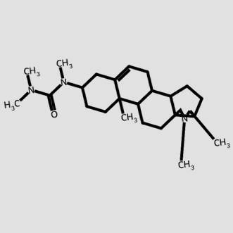 CC1C2CCC3C4CC=C5CC(N(C)C(=O)N(C)C)CCC5(C)C4CCC32CN1C